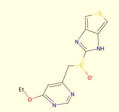 CCOc1cc(C[S+]([O-])c2nc3cscc3[nH]2)ncn1